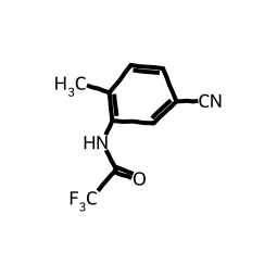 Cc1ccc(C#N)cc1NC(=O)C(F)(F)F